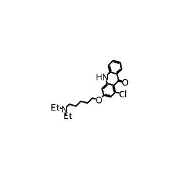 CCN(CC)CCCCCOc1cc(Cl)c2c(=O)c3ccccc3[nH]c2c1